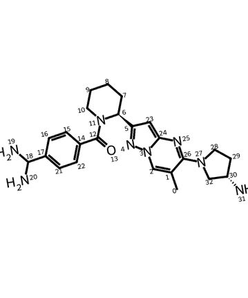 Cc1cn2nc([C@@H]3CCCCN3C(=O)c3ccc(C(N)N)cc3)cc2nc1N1CC[C@H](N)C1